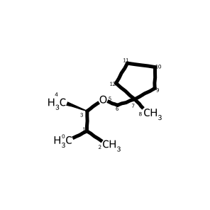 CC(C)[C@@H](C)OCC1(C)CCCC1